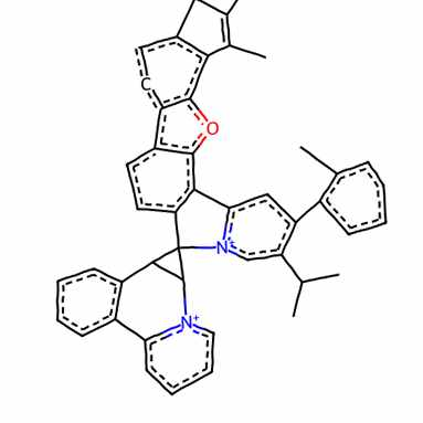 CC1=C(C)c2c(ccc3c2oc2c4c(ccc23)C2(C3c5ccccc5-c5cccc[n+]5C32)[n+]2cc(C(C)C)c(-c3ccccc3C)cc2-4)C1